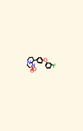 O=S1(=O)CCN2CCCC(c3ccc(Oc4cccc(F)c4)cc3)C2=N1